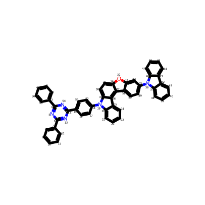 c1ccc(-c2nc(-c3ccccc3)nc(-c3ccc(-n4c5ccccc5c5c6c(ccc54)oc4cc(-n5c7ccccc7c7ccccc75)ccc46)cc3)n2)cc1